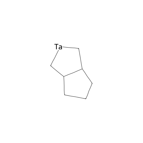 C1CC2[CH2][Ta][CH2]C2C1